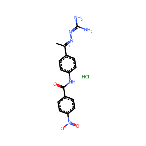 C/C(=N\N=C(N)N)c1ccc(NC(=O)c2ccc([N+](=O)[O-])cc2)cc1.Cl